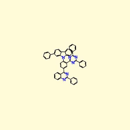 c1ccc(-c2ccc3c4ccccc4n(-c4ccc(-c5nc(-c6ccccc6)nc6ccccc56)cc4-c4nc(-c5ccccc5)nc(-c5ccccc5)n4)c3c2)cc1